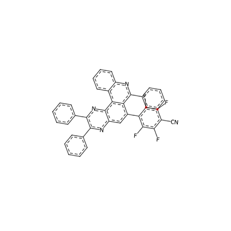 N#Cc1c(F)c(F)c(-c2cc3nc(-c4ccccc4)c(-c4ccccc4)nc3c3c2c(-c2ccccc2)nc2ccccc23)c(F)c1F